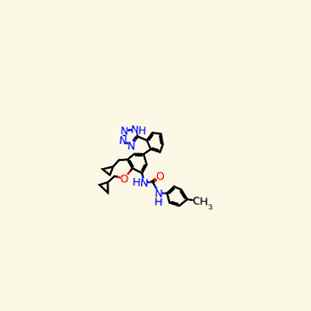 Cc1ccc(NC(=O)Nc2cc(-c3ccccc3-c3nnn[nH]3)cc(CC3CC3)c2OCC2CC2)cc1